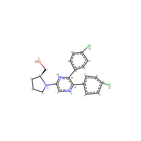 OC[C@@H]1CCCN1c1cnc(-c2ccc(Cl)cc2)c(-c2ccc(Cl)cc2)n1